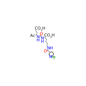 CC(=O)C(CCC(=O)O)NC(=O)NC(CCCCNC(=O)c1ccc([18F])nc1)C(=O)O